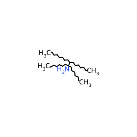 CCCCCCCCC(CCCCCCC)C(N)(CCCCCCC)CCCCCCC